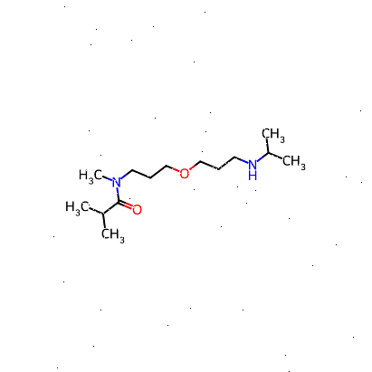 CC(C)NCCCOCCCN(C)C(=O)C(C)C